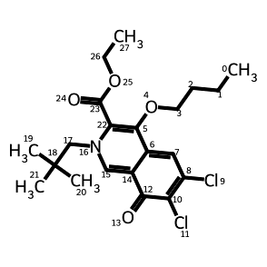 CCCCOc1c2cc(Cl)c(Cl)c(=O)c-2cn(CC(C)(C)C)c1C(=O)OCC